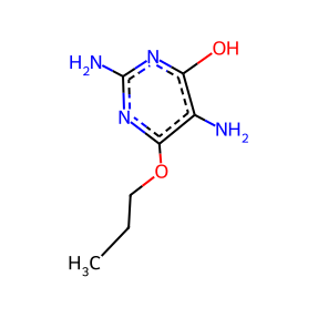 CCCOc1nc(N)nc(O)c1N